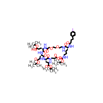 CC(C)(C)OC(=O)CC[C@@H](NC(=O)[C@@H](CCC(=O)OC(C)(C)C)NC(=O)[C@@H](CCC(O)OC(C)(C)C)NC(=O)COCCOCCNC(=O)[C@H](CCCCNC(=O)OC(C)(C)C)NC(=O)CCCc1ccc(I)cc1)C(=O)NCCC(=O)O